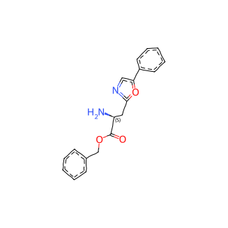 N[C@@H](Cc1ncc(-c2ccccc2)o1)C(=O)OCc1ccccc1